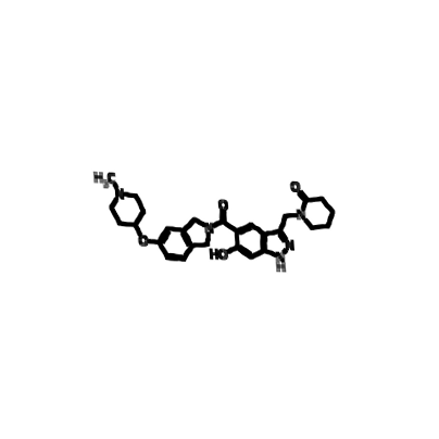 CN1CCC(Oc2ccc3c(c2)CN(C(=O)c2cc4c(CN5CCCCC5=O)n[nH]c4cc2O)C3)CC1